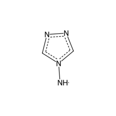 [NH]n1cnnc1